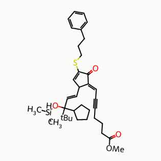 COC(=O)CCCC#CC=C1C(=O)C(SCCCc2ccccc2)=CC1C=CC(O[SiH](C)C)(C1CCCC1)C(C)(C)C